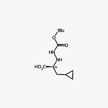 CC(C)(C)OC(=O)NN[C@@H](CC1CC1)C(=O)O